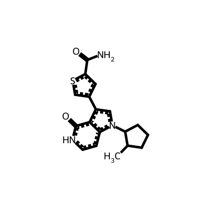 CC1CCCC1n1cc(-c2csc(C(N)=O)c2)c2c(=O)[nH]ccc21